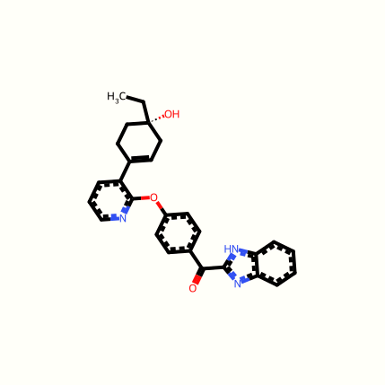 CC[C@@]1(O)CC=C(c2cccnc2Oc2ccc(C(=O)c3nc4ccccc4[nH]3)cc2)CC1